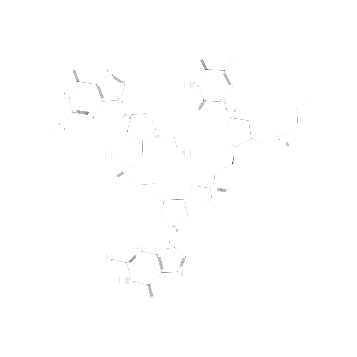 CCOP(=O)(O)OC1C[C@H](n2cc(C)c(=O)[nH]c2=O)O[C@@H]1COP(O)(=S)OC1C[C@H](n2cnc3c(=O)[nH]c(N)nc32)O[C@@H]1COP(O)(=S)OC1C[C@H](n2cnc3c(=O)[nH]c(N)nc32)O[C@@H]1CO